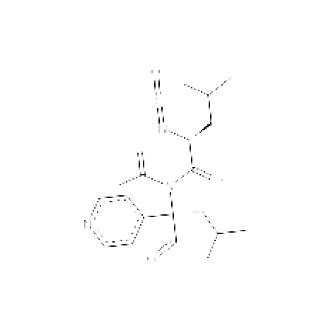 CC(=O)N(C(=O)[C@H](CC(C)C)N=C=O)[C@]([C]=O)(CC(C)C)c1ccncc1